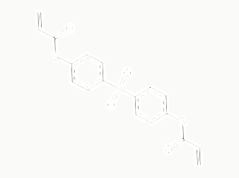 C=CC(=O)Sc1ccc(S(=O)(=O)c2ccc(SC(=O)C=C)cc2)cc1